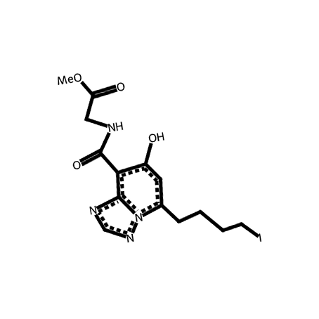 COC(=O)CNC(=O)c1c(O)cc(CCCCI)n2ncnc12